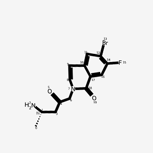 C[C@H](N)CC(=O)Cn1ccc2cc(Br)c(F)cc2c1=O